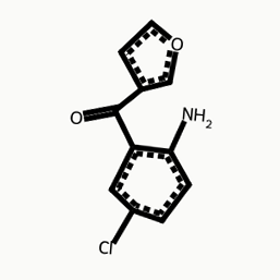 Nc1ccc(Cl)cc1C(=O)c1ccoc1